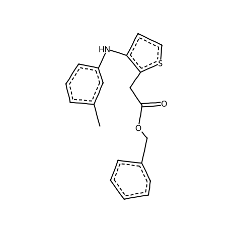 Cc1cccc(Nc2ccsc2CC(=O)OCc2ccccc2)c1